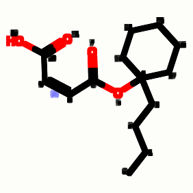 CCCCC1(OC(=O)/C=C\C(=O)O)CCCCC1